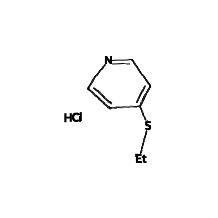 CCSc1ccncc1.Cl